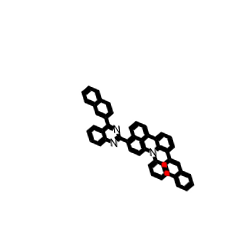 c1ccc(N2c3c(-c4ccc5ccccc5c4)cccc3-c3cccc4c(-c5nc(-c6ccc7ccccc7c6)c6ccccc6n5)ccc2c34)cc1